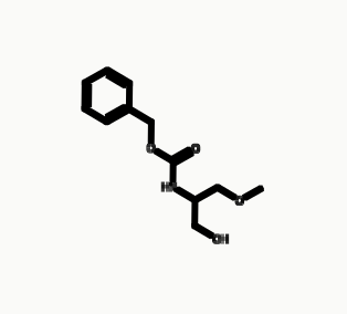 COCC(CO)NC(=O)OCc1ccccc1